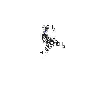 CCOC(=O)C[C@@H](c1ccc(OC)c(F)c1)N1CCn2cc(/C=C/C(C)=O)cc2C1=O